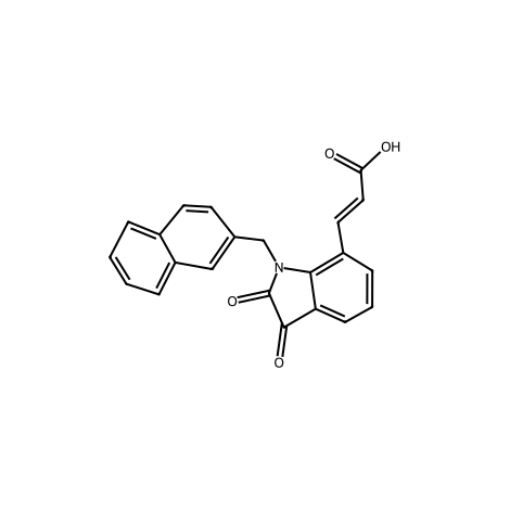 O=C(O)/C=C/c1cccc2c1N(Cc1ccc3ccccc3c1)C(=O)C2=O